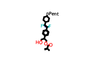 C=C(C)C(=O)OCC(CO)c1ccc(/C(F)=C(\F)C2CCC(CCCCC)CC2)cc1